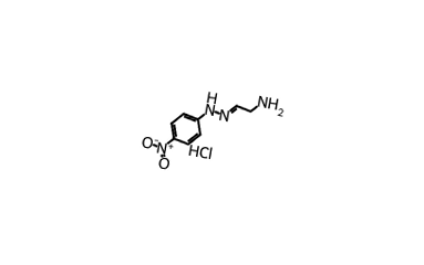 Cl.NCC=NNc1ccc([N+](=O)[O-])cc1